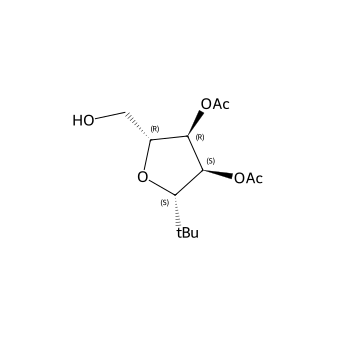 CC(=O)O[C@@H]1[C@H](OC(C)=O)[C@@H](CO)O[C@H]1C(C)(C)C